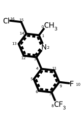 Cc1nc(-c2ccc(C(F)(F)F)c(F)c2)ccc1CCl